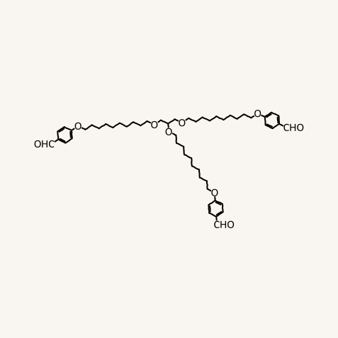 O=Cc1ccc(OCCCCCCCCCCOCC(COCCCCCCCCCCOc2ccc(C=O)cc2)OCCCCCCCCCCOc2ccc(C=O)cc2)cc1